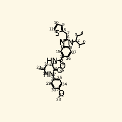 CCC(CC)n1c(Cc2cccs2)nc2cc(C(=O)N[C@@H](CC(C)C)C(=O)Nc3ccc(OC)cc3)ccc21